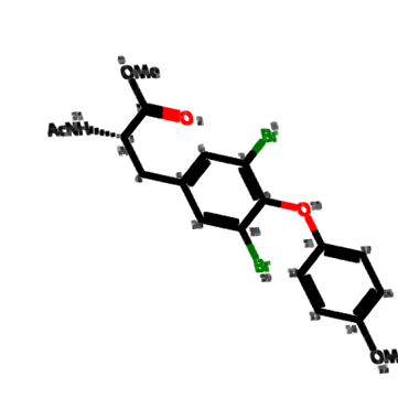 COC(=O)[C@H](Cc1cc(Br)c(Oc2ccc(OC)cc2)c(Br)c1)NC(C)=O